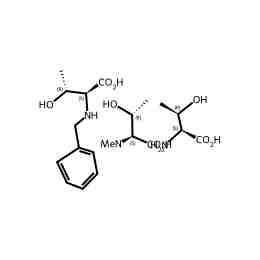 CN[C@H](C(=O)O)[C@@H](C)O.C[C@@H](O)[C@H](N)C(=O)O.C[C@@H](O)[C@H](NCc1ccccc1)C(=O)O